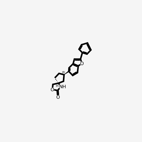 O=C1N[C@@]2(CC[C@@H](c3ccc4oc(-c5ccccc5)cc4c3)C2)CO1